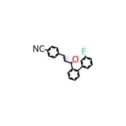 N#Cc1ccc(/C=C/C(=O)c2ccccc2-c2cccc(F)c2)cc1